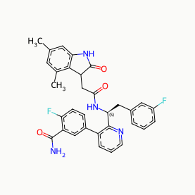 Cc1cc(C)c2c(c1)NC(=O)C2CC(=O)N[C@@H](Cc1cccc(F)c1)c1ncccc1-c1ccc(F)c(C(N)=O)c1